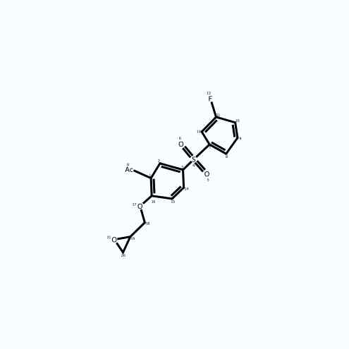 CC(=O)c1cc(S(=O)(=O)c2cccc(F)c2)ccc1OCC1CO1